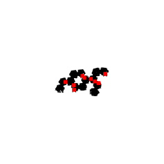 c1cncc(-c2cccc(-c3cc(-c4cccc(-c5cccnc5)c4)cc(-c4cncc(-c5cccc(-c6cncc(-c7cc(-c8cccc(-c9cccnc9)c8)cc(-c8cccc(-c9cccnc9)c8)c7)c6)c5)c4)c3)c2)c1